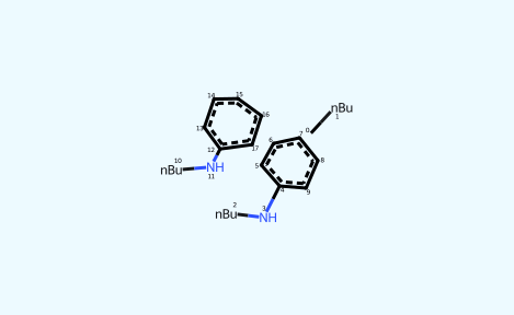 CCCCC.CCCCNc1ccccc1.CCCCNc1ccccc1